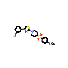 CC(C)(C)c1ccc(S(=O)(=O)C2CCN(c3nc(-c4cc(F)cc(Cl)c4)cs3)CC2)cc1